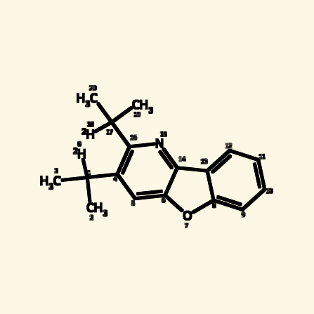 [2H]C(C)(C)c1cc2oc3ccccc3c2nc1C([2H])(C)C